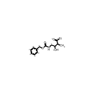 CCC(=O)C(C)C(O)CNC(=O)OCc1ccccc1